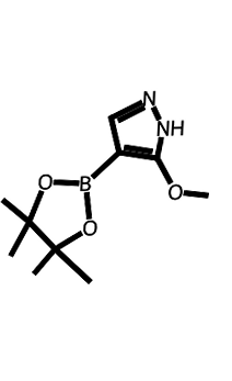 COc1[nH]ncc1B1OC(C)(C)C(C)(C)O1